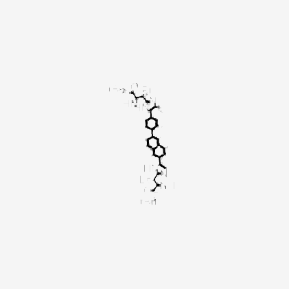 CC[C@@H](C(=N)C(=O)OC(C)(C)C)c1ncc(-c2ccc3cc(-c4ccc(-c5[nH]c([C@@H](CC)C(=N)C(=O)OC(C)(C)C)nc5Cl)cc4)ccc3c2)[nH]1